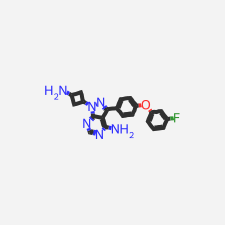 Nc1ncnc2c1c(-c1ccc(Oc3cccc(F)c3)cc1)nn2C1CC(N)C1